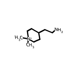 C[N+]1(C)CCC(CCN)CC1